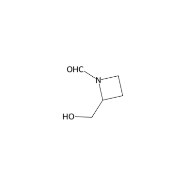 O=CN1CCC1CO